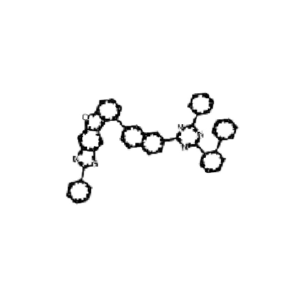 c1ccc(-c2nc(-c3ccc4ccc(-c5cccc6oc7cc8nc(-c9ccccc9)sc8cc7c56)cc4c3)nc(-c3ccccc3-c3ccccc3)n2)cc1